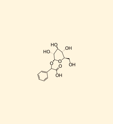 O=C(O)C(O[C@@H]1O[C@H](CO)[C@@H](O)[C@H](O)[C@H]1O)c1ccccc1